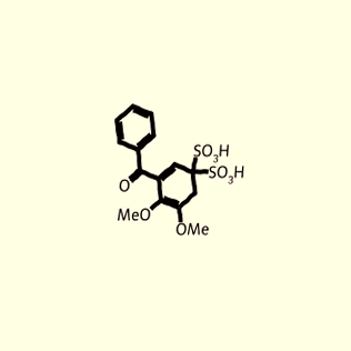 COC1=C(OC)C(C(=O)c2ccccc2)=CC(S(=O)(=O)O)(S(=O)(=O)O)C1